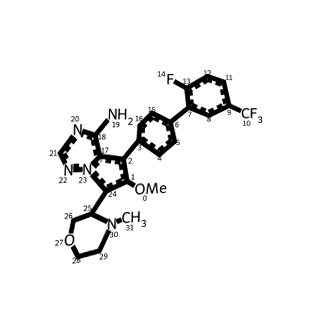 COc1c(-c2ccc(-c3cc(C(F)(F)F)c[c]c3F)cc2)c2c(N)ncnn2c1C1COCCN1C